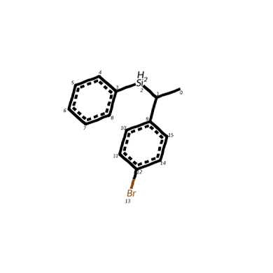 CC([SiH2]c1ccccc1)c1ccc(Br)cc1